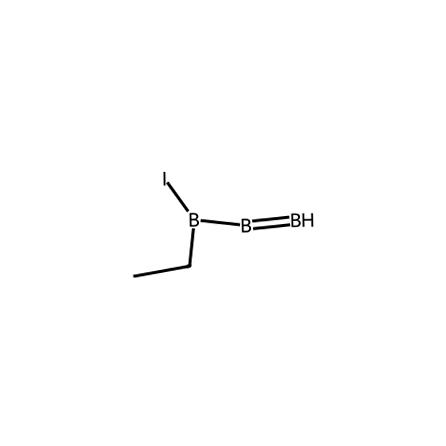 B=BB(I)CC